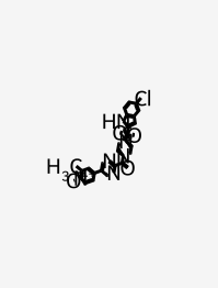 Cc1cc(-c2cnc(C(=O)N3CCN(S(=O)(=O)c4cc5cc(Cl)ccc5[nH]4)CC3)nc2)cc[n+]1[O-]